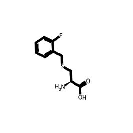 N[C@@H](CSCc1ccccc1F)C(=O)O